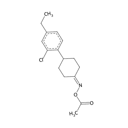 CCc1ccc(C2CCC(=NOC(C)=O)CC2)c(Cl)c1